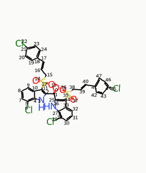 O=C(c1[nH]c2c(Cl)cccc2c1S(=O)(=O)CC=Cc1ccc(Cl)cc1)c1[nH]c2c(Cl)cccc2c1S(=O)(=O)CC=Cc1ccc(Cl)cc1